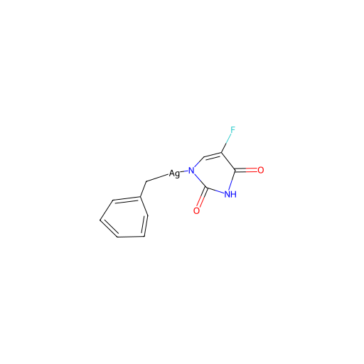 O=c1[nH]c(=O)[n]([Ag][CH2]c2ccccc2)cc1F